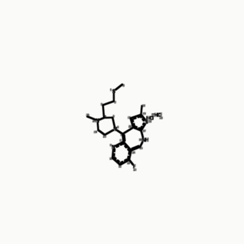 CSCCC1CN(C2=c3nccc(F)c3=CNc3sc(C)cc32)CCN1C.Cl.Cl